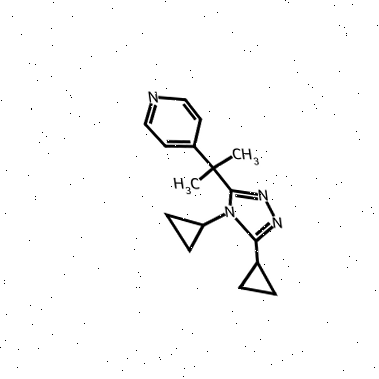 CC(C)(c1ccncc1)c1nnc(C2CC2)n1C1CC1